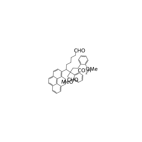 COc1ccccc1C(CC(CC=O)(c1ccccc1OC)C(CCCCC=O)c1ccc2ccc3cccc4ccc1c2c34)C(=O)O